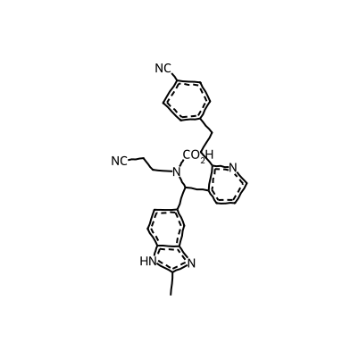 Cc1nc2cc(C(c3cccnc3CCc3ccc(C#N)cc3)N(CCC#N)C(=O)O)ccc2[nH]1